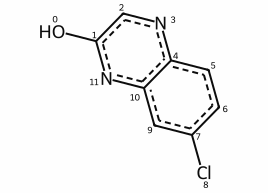 Oc1cnc2ccc(Cl)cc2n1